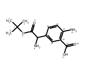 CC(C)(C)OC(=O)C(N)c1ccc(N)c(C(=O)O)c1